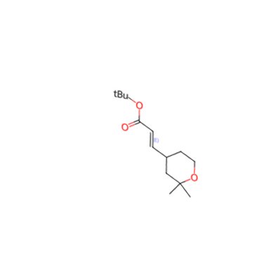 CC(C)(C)OC(=O)/C=C/C1CCOC(C)(C)C1